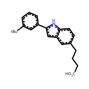 CC(C)(C)c1cccc(-c2cc3cc(CCCC(=O)O)ccc3[nH]2)c1